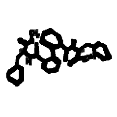 COC(=O)[C@H](Cc1ccccc1)NC(=S)c1ccccc1-c1ccccc1C(=O)N[C@@H](Cc1ccccc1)C(=O)O